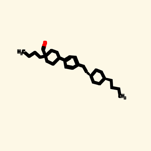 CCCCC1(C=O)CCC(c2ccc(CC[C@H]3CC[C@H](CCCC)CC3)cc2)CC1